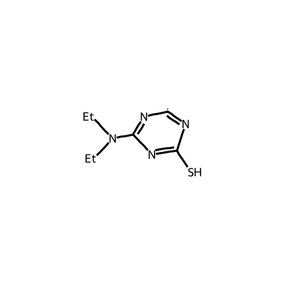 CCN(CC)c1n[c]nc(S)n1